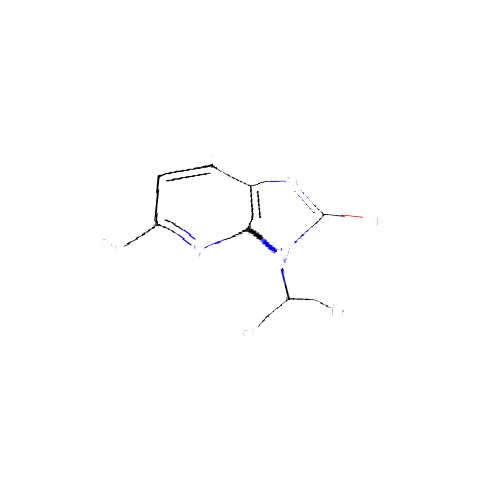 CCC(CC)n1c(O)nc2ccc(C(C)C)nc21